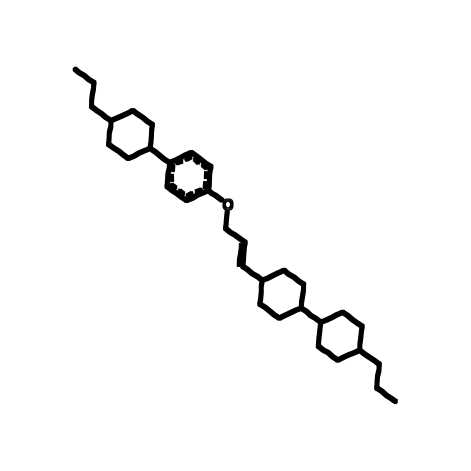 CCCC1CCC(c2ccc(OCC=CC3CCC(C4CCC(CCC)CC4)CC3)cc2)CC1